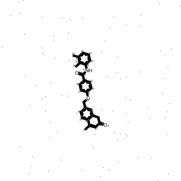 CC1=CC(=O)Cc2cc(COc3ccc(C(=O)Nc4cccc(C)c4C)cc3)ccc21